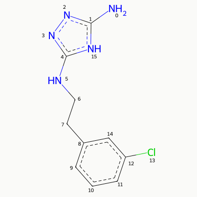 Nc1nnc(NCCc2cccc(Cl)c2)[nH]1